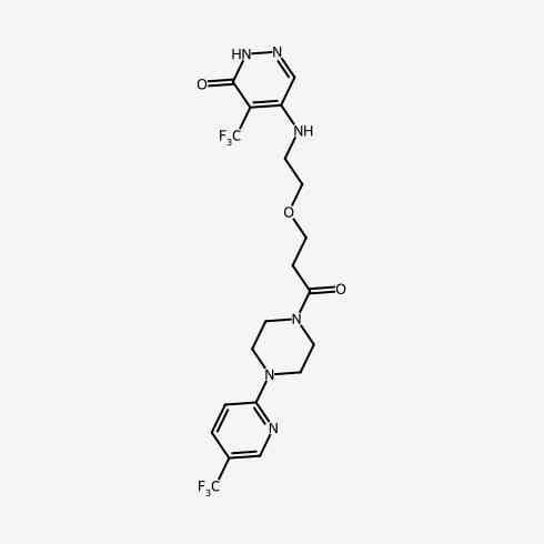 O=C(CCOCCNc1cn[nH]c(=O)c1C(F)(F)F)N1CCN(c2ccc(C(F)(F)F)cn2)CC1